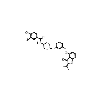 CC(C)=C1Oc2cccc(OCc3cccc(CN4CCC(NC(=O)c5ccc(Cl)c(Cl)c5)CC4)c3)c2C1=O